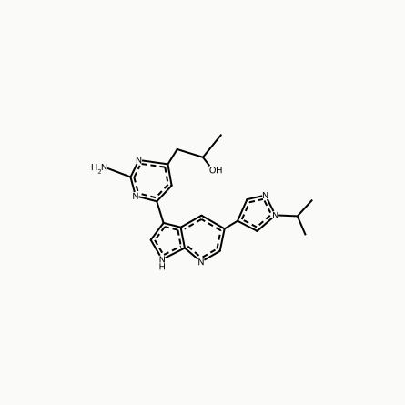 CC(O)Cc1cc(-c2c[nH]c3ncc(-c4cnn(C(C)C)c4)cc23)nc(N)n1